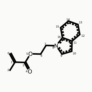 C=C(C)C(=O)OCCn1ccc2ccccc21